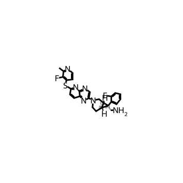 Cc1nccc(Sc2ccc3nc(N4CC[C@@H]5[C@H](C4)[C@@]5(CN)c4ccccc4F)cnc3n2)c1F